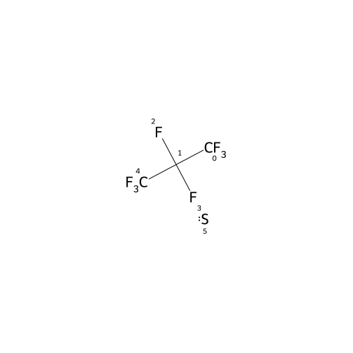 FC(F)(F)C(F)(F)C(F)(F)F.[S]